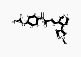 Cn1cc(-c2ccncc2C=CC(=O)Nc2ccc(OC(F)F)cc2)cn1